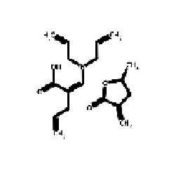 C=C1CC(C)OC1=O.C=CCC(=CN(CC=C)CC=C)C(=O)O